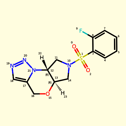 O=S(=O)(c1ccccc1F)N1C[C@@H]2[C@@H](C1)OCc1cnnn12